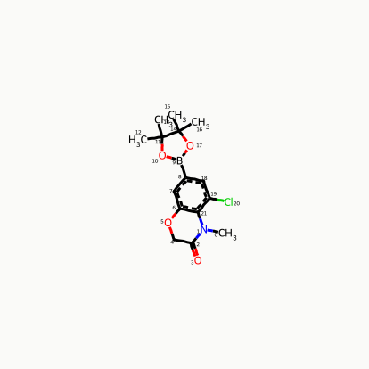 CN1C(=O)COc2cc(B3OC(C)(C)C(C)(C)O3)cc(Cl)c21